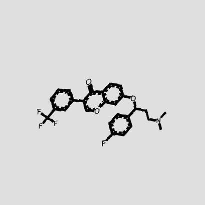 CN(C)CCC(Oc1ccc2c(=O)c(-c3cccc(C(F)(F)F)c3)coc2c1)c1ccc(F)cc1